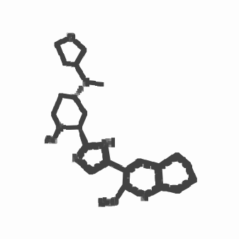 COc1nc2ccccc2cc1-c1cnc([C@@H]2C[C@@H](N(C)C3CCOC3)CCN2C(C)=O)[nH]1